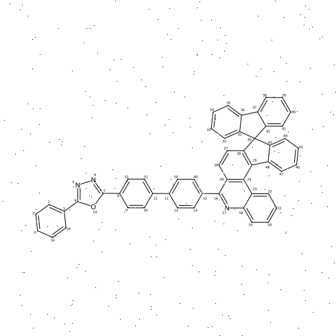 c1ccc(-c2nnc(-c3ccc(-c4ccc(-c5nc6ccccc6c6c7c(ccc56)C5(c6ccccc6-c6ccccc65)c5ccccc5-7)cc4)cc3)o2)cc1